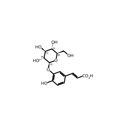 O=C(O)C=Cc1ccc(O)c(O[C@@H]2O[C@H](CO)[C@@H](O)[C@H](O)[C@H]2O)c1